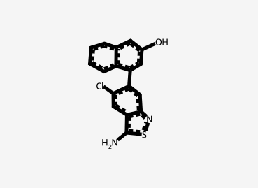 Nc1snc2cc(-c3cc(O)cc4ccccc34)c(Cl)cc12